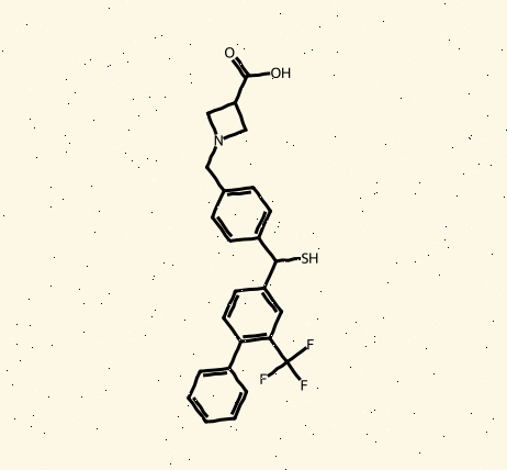 O=C(O)C1CN(Cc2ccc(C(S)c3ccc(-c4ccccc4)c(C(F)(F)F)c3)cc2)C1